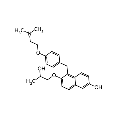 CC(O)COc1ccc2cc(O)ccc2c1Cc1ccc(OCCN(C)C)cc1